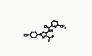 CC[C@H]1CC[C@@H](n2cc(NC(=O)c3cccc(C(F)(F)F)n3)c(C(F)F)n2)CC1